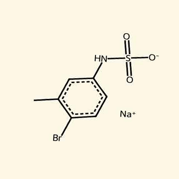 Cc1cc(NS(=O)(=O)[O-])ccc1Br.[Na+]